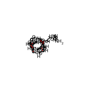 C=C/C(=C\C=C(/C)COc1nc(N)nc2nc[nH]c12)CNC(=O)CN1CCN2CCNC(=O)c3cccc(c3O)C(=O)NCCN(CCNC(=O)c3cccc(c3O)C1=O)CCN1CCNC(=O)c3cccc(c3O)C(=O)NCCN(CCNC(=O)c3cccc(c3O)C(=O)NCC1)CC2